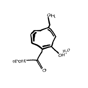 CCCCCC(=O)c1ccc(O)cc1O.O